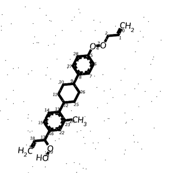 C=CCOOc1ccc(C2CCC(c3ccc(C(C=C)OO)cc3C)CC2)cc1